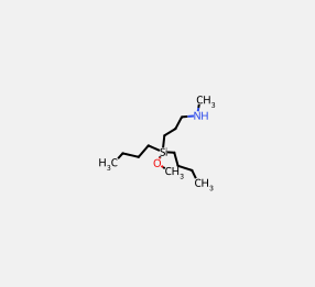 CCCC[Si](CCCC)(CCCNC)OC